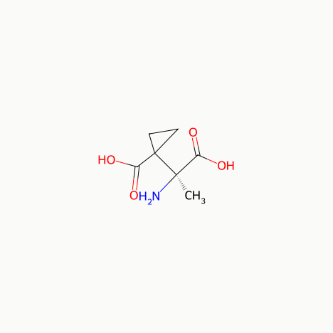 C[C@@](N)(C(=O)O)C1(C(=O)O)CC1